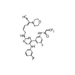 C#C/C(=C\C=C/CNc1ncc(Nc2cccc(F)c2)c(-c2cc(F)cc(NC(=O)C=C)c2)n1)N1CCOCC1